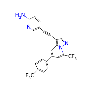 Nc1ccc(C#Cc2cnn3c(C(F)(F)F)cc(-c4ccc(C(F)(F)F)cc4)cc23)cn1